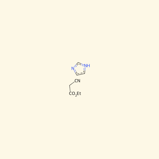 CCOC(=O)CC#N.c1c[nH]cn1